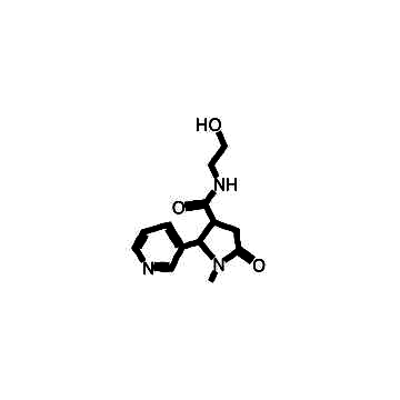 CN1C(=O)CC(C(=O)NCCO)C1c1cccnc1